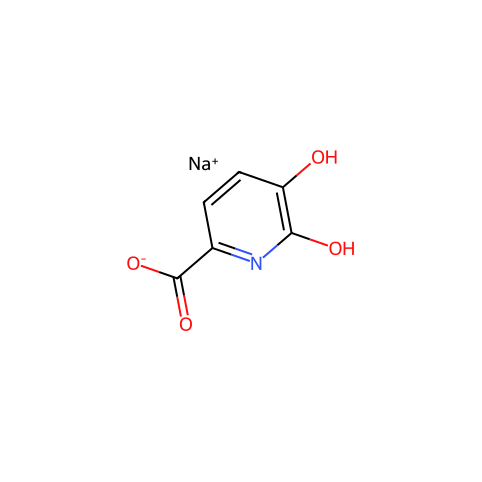 O=C([O-])c1ccc(O)c(O)n1.[Na+]